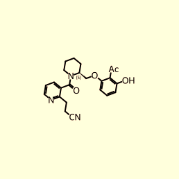 CC(=O)c1c(O)cccc1OC[C@@H]1CCCCN1C(=O)c1cccnc1CCC#N